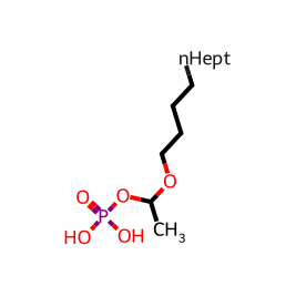 CCCCCCCCCCCOC(C)OP(=O)(O)O